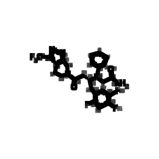 NC(=O)CN(c1ccccc1)[C@@H](CC(=O)N1CCn2c(nnc2C(F)(F)F)C1)Cc1cc(F)c(F)cc1F